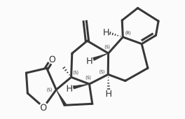 C=C1C[C@@]2(C)[C@@H](CC[C@]23OCCC3=O)[C@@H]2CCC3=CCCC[C@@H]3[C@@H]12